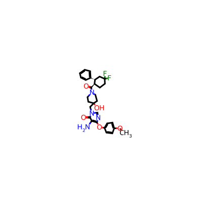 COc1ccc(Oc2ncn(CC3(O)CCN(C(=O)[C@@H]4CCC(F)(F)C[C@H]4c4ccccc4)CC3)c(=O)c2N)cc1